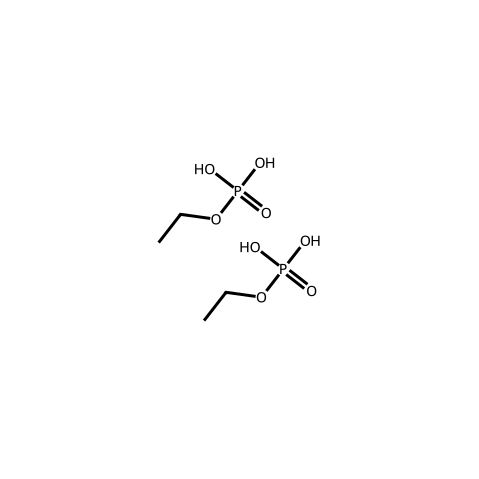 CCOP(=O)(O)O.CCOP(=O)(O)O